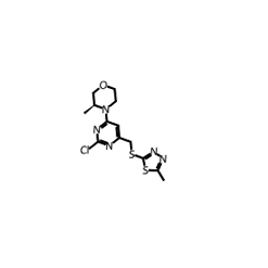 Cc1nnc(SCc2cc(N3CCOC[C@@H]3C)nc(Cl)n2)s1